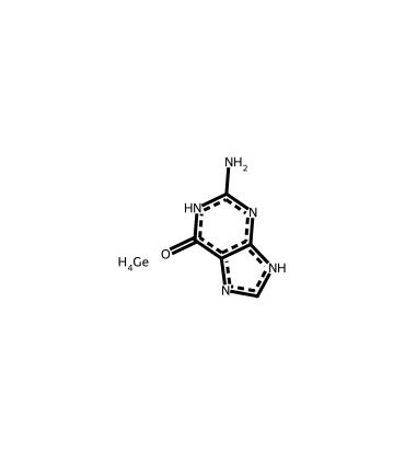 Nc1nc2[nH]cnc2c(=O)[nH]1.[GeH4]